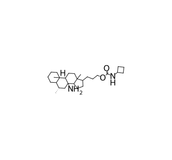 C[C@H]1CC2(N)C3CCC(CCCOC(=O)NC4CCC4)C3(C)CC[C@@H]2C2(C)CCCCC12